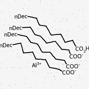 CCCCCCCCCCCCCCCCCC(=O)O.CCCCCCCCCCCCCCCCCC(=O)[O-].CCCCCCCCCCCCCCCCCC(=O)[O-].CCCCCCCCCCCCCCCCCC(=O)[O-].[Al+3]